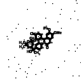 COc1cc2c(cc1OC(C)C)C(c1ccc(Cl)cc1)N(c1ccc([C@@](C)(O)C3CC(C)(C)OC(C)(C)C3)cc1)C(=O)C2